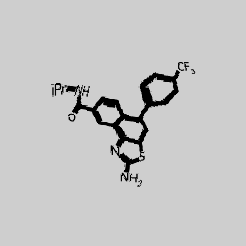 CC(C)NC(=O)c1ccc2c(-c3ccc(C(F)(F)F)cc3)cc3sc(N)nc3c2c1